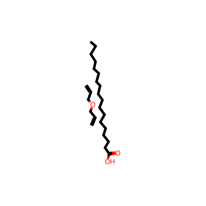 C=CCOCC=C.CCCCCCCCCCCCCCCCCC(=O)O